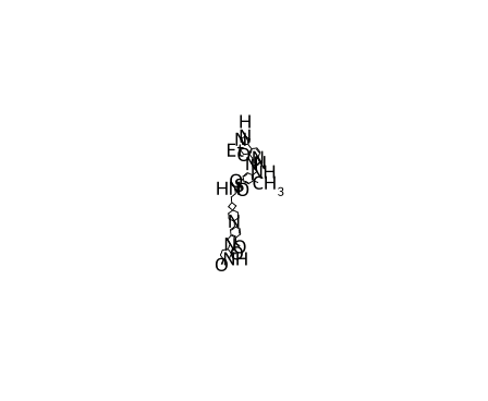 CCOc1c(-c2cn[nH]c2)ccn2nc(Nc3ccc(S(=O)(=O)NCCC4CC5(CCN(c6ccc7c(c6)CN(C6CCC(=O)NC6=O)C7=O)CC5)C4)cc3C)nc12